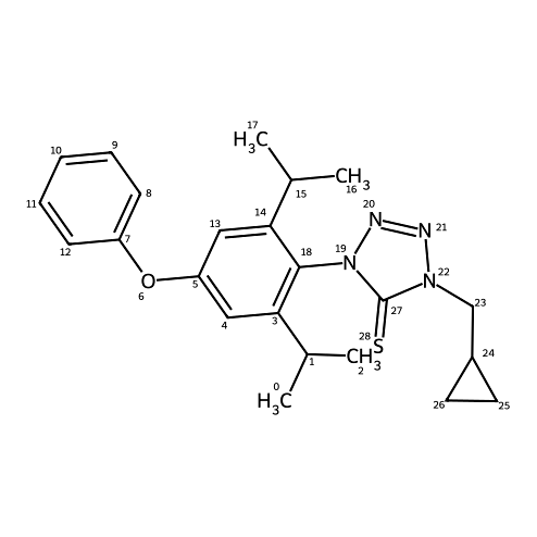 CC(C)c1cc(Oc2ccccc2)cc(C(C)C)c1-n1nnn(CC2CC2)c1=S